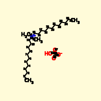 CCCCCCCCCCCC[N+](C)(C)CCCCCCCCCCCC.O=S(=O)([O-])O